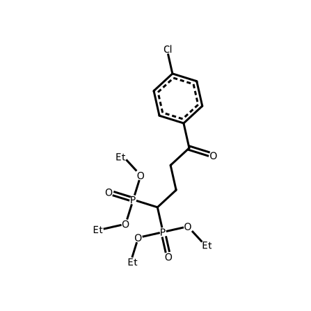 CCOP(=O)(OCC)C(CCC(=O)c1ccc(Cl)cc1)P(=O)(OCC)OCC